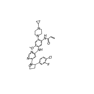 C=CC(=O)Nc1cc(Nc2cc(N3OCCC3c3ccc(Cl)c(F)c3)ncn2)c(OC)cc1N1CCN(C2CC2)CC1